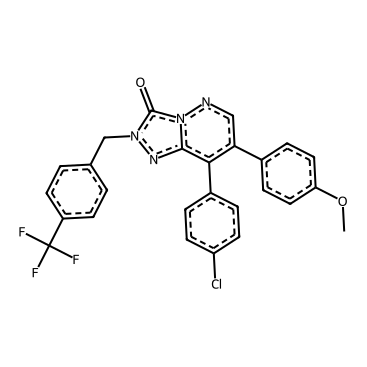 COc1ccc(-c2cnn3c(=O)n(Cc4ccc(C(F)(F)F)cc4)nc3c2-c2ccc(Cl)cc2)cc1